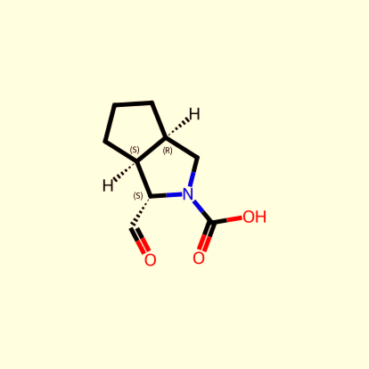 O=C[C@@H]1[C@H]2CCC[C@H]2CN1C(=O)O